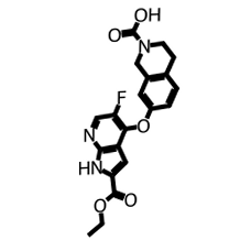 CCOC(=O)c1cc2c(Oc3ccc4c(c3)CN(C(=O)O)CC4)c(F)cnc2[nH]1